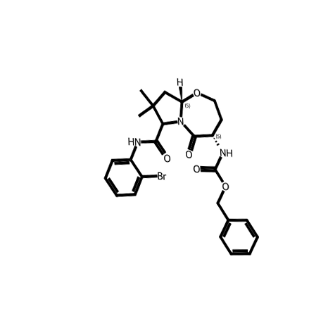 CC1(C)C[C@@H]2OCC[C@H](NC(=O)OCc3ccccc3)C(=O)N2C1C(=O)Nc1ccccc1Br